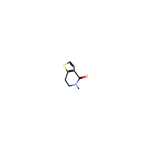 CN1CCc2sccc2C1=O